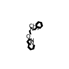 CN(CCOc1cc2ccccn2n1)Cc1ccccc1